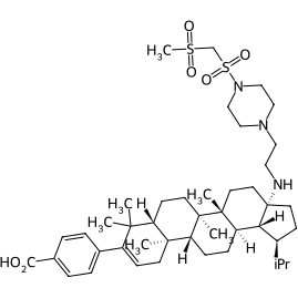 CC(C)[C@@H]1CC[C@]2(NCCN3CCN(S(=O)(=O)CS(C)(=O)=O)CC3)CC[C@]3(C)[C@H](CC[C@@H]4[C@@]5(C)CC=C(c6ccc(C(=O)O)cc6)C(C)(C)[C@@H]5CC[C@]43C)[C@@H]12